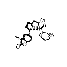 Cn1c(=O)oc2ccc(-c3ccc(C[C@@H](C#N)NC(=O)[C@@H]4CNCCCO4)s3)cc21